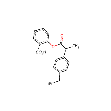 CC(C)Cc1ccc(C(C)C(=O)Oc2ccccc2C(=O)O)cc1